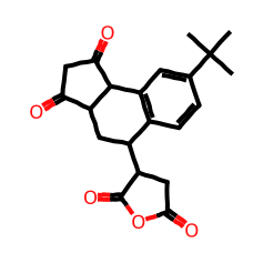 CC(C)(C)c1ccc2c(c1)C1C(=O)CC(=O)C1CC2C1CC(=O)OC1=O